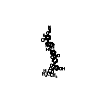 CC(C)(C)OC(=O)N1C[C@H](O)C[C@H]1C(=O)N1CCN(C(=O)c2ccc(Nc3nccn4c(-c5ccc(OCC#N)c(F)c5Cl)cnc34)cc2Cl)CC1